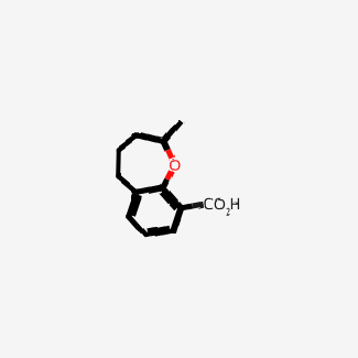 CC1CCCc2cccc(C(=O)O)c2O1